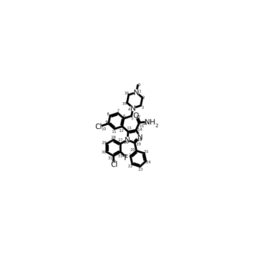 CN1CCN(Cc2ccc(Cl)cc2-c2c(C(N)=O)nc(-c3ccccc3)n2-c2cccc(Cl)c2F)CC1